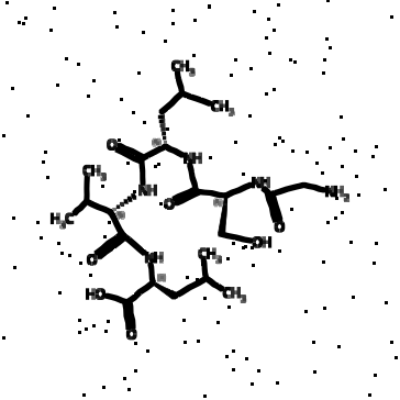 CC(C)C[C@H](NC(=O)[C@@H](NC(=O)[C@H](CC(C)C)NC(=O)[C@H](CO)NC(=O)CN)C(C)C)C(=O)O